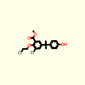 COC(=O)c1cc(C(C)(C)c2ccc(O)cc2)cc(Cl)c1OCCCl